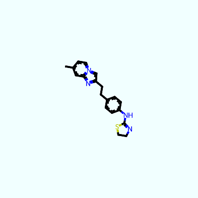 Cc1ccn2cc(CCc3ccc(NC4=NCCS4)cc3)nc2c1